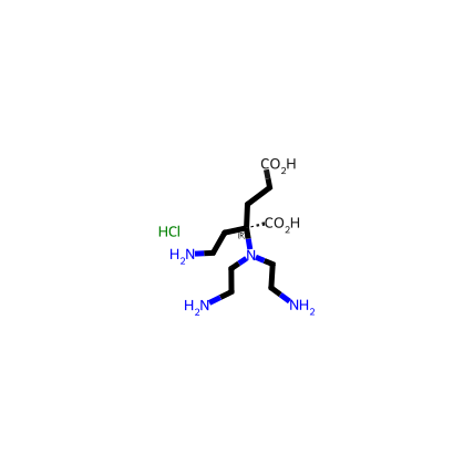 Cl.NCCN(CCN)[C@@](CCN)(CCC(=O)O)C(=O)O